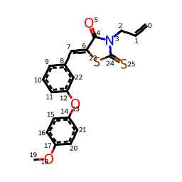 C=CCN1C(=O)C(=Cc2cccc(Oc3ccc(OC)cc3)c2)SC1=S